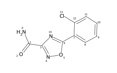 NC(=O)c1noc(-c2ccccc2Cl)n1